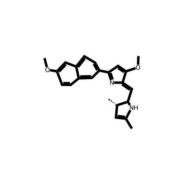 COC1=CC(c2ccc3cc(OC)ccc3c2)=N/C1=C\C1NC(C)=C[C@@H]1C